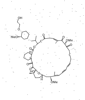 CO[C@@H]1C(=O)/C(C)=C/[C@@H](C)C(=O)CC(C(C)C[C@H]2CC[C@@H](OCCO)[C@H](OC)C2)OC(=O)[C@@H]2CCCCN2C(=O)C(=O)C2(O)O[C@@H](CC[C@H]2C)C[C@H](OC)/C(C)=C/C=C/C=C/[C@@H](C)C[C@@H](C)C1=O